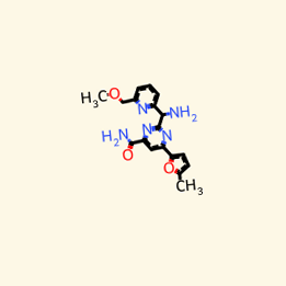 COCc1cccc(C(N)c2nc(C(N)=O)cc(-c3ccc(C)o3)n2)n1